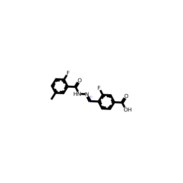 Cc1ccc(F)c(C(=O)N/N=C/c2ccc(C(=O)O)cc2F)c1